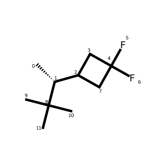 C[C@H](C1CC(F)(F)C1)C(C)(C)C